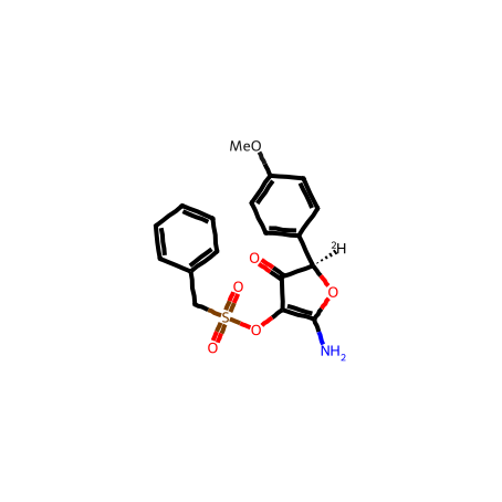 [2H][C@]1(c2ccc(OC)cc2)OC(N)=C(OS(=O)(=O)Cc2ccccc2)C1=O